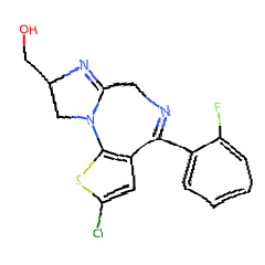 OCC1CN2C(=N1)CN=C(c1ccccc1F)c1cc(Cl)sc12